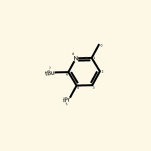 Cc1ccc(C(C)C)c(C(C)(C)C)n1